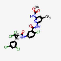 CC(C)(C)OC(=O)Nc1cc(C(F)(F)F)cc(NC(=O)c2cc(NC(=O)[C@H]3[C@H](c4cc(Cl)cc(Cl)c4)C3(Cl)Cl)ccc2Cl)n1